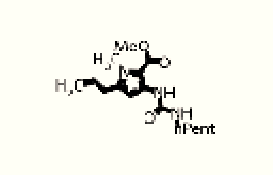 C=CCc1cc(NC(=O)NCCCCC)c(C(=O)OC)n1C